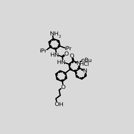 CCCCn1c(=O)c(NC(=O)Nc2c(C(C)C)cc(N)cc2C(C)C)c(-c2cccc(OCCCO)c2)c2cccnc21.Cl